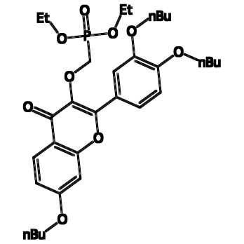 CCCCOc1ccc2c(=O)c(OCP(=O)(OCC)OCC)c(-c3ccc(OCCCC)c(OCCCC)c3)oc2c1